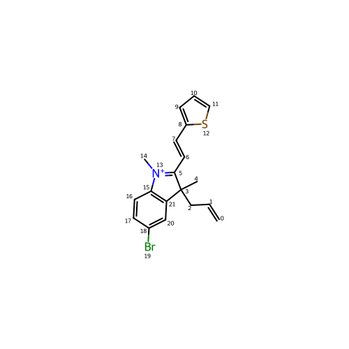 C=CCC1(C)C(/C=C/c2cccs2)=[N+](C)c2ccc(Br)cc21